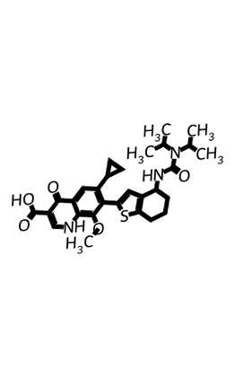 COc1c(-c2cc3c(s2)CCCC3NC(=O)N(C(C)C)C(C)C)c(C2CC2)cc2c(=O)c(C(=O)O)c[nH]c12